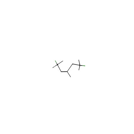 CC(CC(C)(F)C(F)(F)F)CC(F)(C(F)(F)F)C(F)(F)F